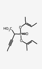 CC#CC(C(=O)O)P(=O)(OC(C)=CC)OC(C)=CC